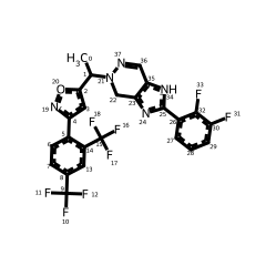 CC(c1cc(-c2ccc(C(F)(F)F)cc2C(F)(F)F)no1)N1Cc2nc(-c3cccc(F)c3F)[nH]c2C=N1